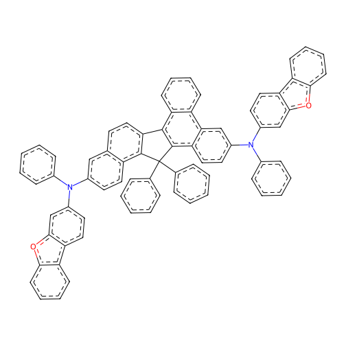 c1ccc(N(c2ccc3c4c(ccc3c2)-c2c(c3ccc(N(c5ccccc5)c5ccc6c(c5)oc5ccccc56)cc3c3ccccc23)C4(c2ccccc2)c2ccccc2)c2ccc3c(c2)oc2ccccc23)cc1